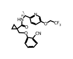 C[C@@H](NC(=O)C1(COc2ccccc2C#N)CC1)c1ccc(OCC(F)(F)F)cn1